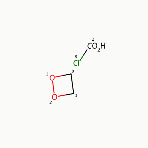 C1COO1.O=C(O)Cl